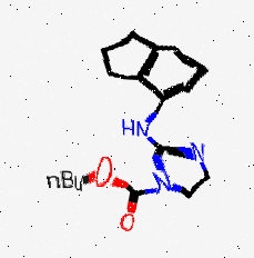 CCCCOC(=O)N1CCN=C1Nc1cccc2c1CCC2